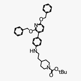 CC(C)(C)OC(=O)N1CCC(CCNc2ccc(-c3ccc(OCc4ccccc4)nc3OCc3ccccc3)cc2)CC1